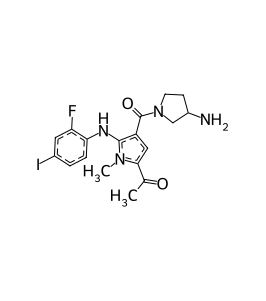 CC(=O)c1cc(C(=O)N2CCC(N)C2)c(Nc2ccc(I)cc2F)n1C